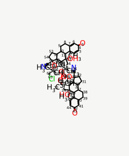 C[C@]12C=CC(=O)C=C1CCC1C2[C@](O)(C[Si](C)(C)OOO[Si](C)(C)C[C@@]2(O)C[C@@]3(C)C(CC[C@@]3(O)C#N)C3CCC4=CC(=O)C=C[C@]4(C)C32)C[C@@]2(C)C1CC[C@@]2(C#N)O[Si](C)(C)CCl